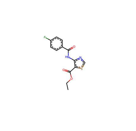 CCOC(=O)c1scnc1NC(=O)c1ccc(F)cc1